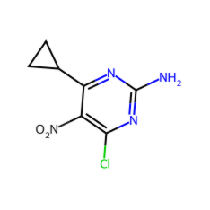 Nc1nc(Cl)c([N+](=O)[O-])c(C2CC2)n1